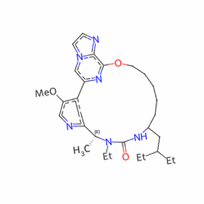 CCC(CC)CC1CCCCCOc2nc(cn3ccnc23)-c2cc(ncc2OC)[C@@H](C)N(CC)C(=O)N1